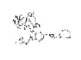 CC1(C)C(C(=O)c2cn(C[C@H]3CCCO3)c3ccc(OCc4ccccc4)cc23)C1(C)C